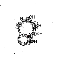 C[C@@H](O)[C@@H]1NC(=O)[C@H](CC(=O)O)NC(=O)[C@@H]2CCCN2C(=O)[C@H](Cc2ccc(O)cc2)NC(=O)[C@@H]2CSCc3cc(cc(c3)OCCCCCCO/N=C/C(=O)N[C@@H](CC(=O)O)C(=O)N2)CSC[C@@H](C(N)=O)NC(=O)[C@H](Cc2cnc[nH]2)NC(=O)[C@H](Cc2ccc(O)cc2)NC1=O